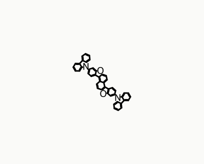 c1ccc2c(c1)c1ccccc1n2-c1ccc2c(c1)oc1ccc3c(ccc4oc5cc(-n6c7ccccc7c7ccccc76)ccc5c43)c12